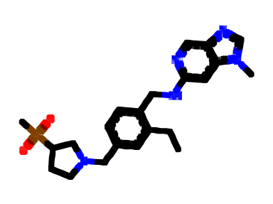 CCc1cc(CN2CCC(S(C)(=O)=O)C2)ccc1CNc1cc2c(cn1)ncn2C